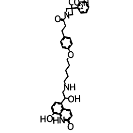 O=C(CCc1ccc(OCCCCCNCC(O)c2ccc(O)c3[nH]c(=O)ccc23)cc1)N1CC(C(=O)O)(c2ccccc2)C1